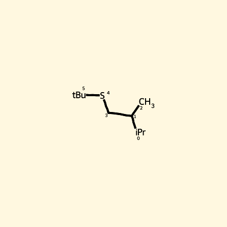 CC(C)C(C)CSC(C)(C)C